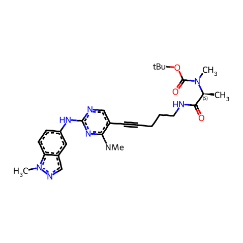 CNc1nc(Nc2ccc3c(cnn3C)c2)ncc1C#CCCCNC(=O)[C@H](C)N(C)C(=O)OC(C)(C)C